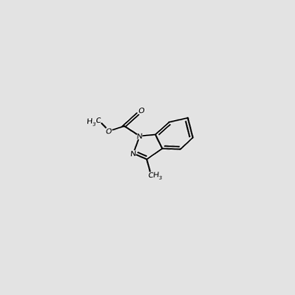 COC(=O)n1nc(C)c2ccccc21